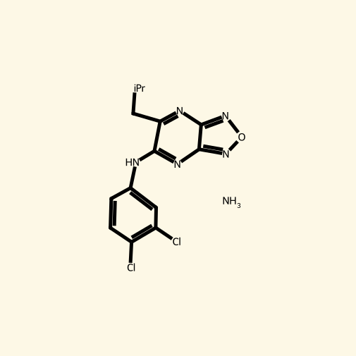 CC(C)Cc1nc2nonc2nc1Nc1ccc(Cl)c(Cl)c1.N